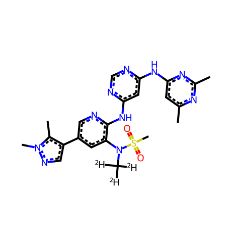 [2H]C([2H])([2H])N(c1cc(-c2cnn(C)c2C)cnc1Nc1cc(Nc2cc(C)nc(C)n2)ncn1)S(C)(=O)=O